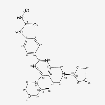 CCNC(=O)Nc1ccc(-c2nc3c(c(N4CCOC[C@@H]4C)n2)CCN([C@H]2CCOC2)C3)cc1